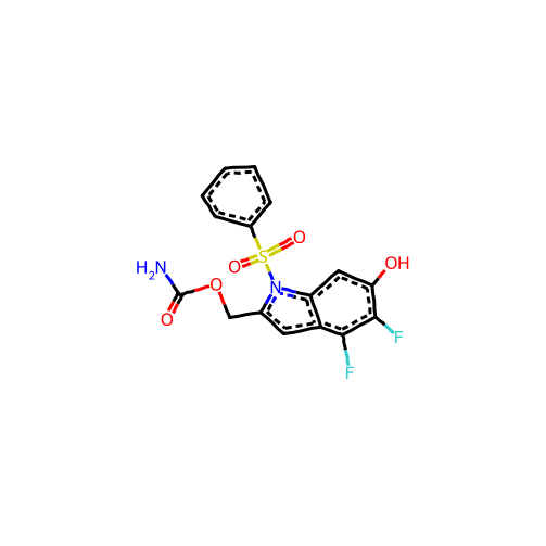 NC(=O)OCc1cc2c(F)c(F)c(O)cc2n1S(=O)(=O)c1ccccc1